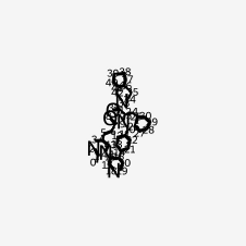 Cc1ncc(C=CC(=O)N(Cc2ccc(-c3ccncc3)cc2)C(Cc2ccccc2)C(=O)N2CCc3ccccc3C2)cn1